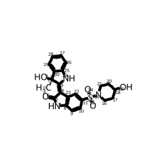 C[C@@]1(O)C(=C2C(=O)Nc3ccc(S(=O)(=O)N4CCC(O)CC4)cc32)Nc2ccccc21